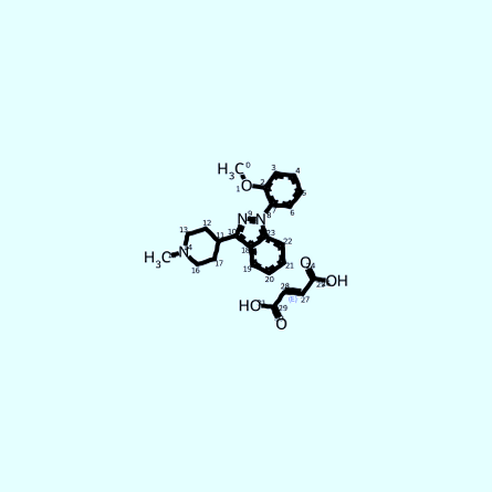 COc1ccccc1-n1nc(C2CCN(C)CC2)c2ccccc21.O=C(O)/C=C/C(=O)O